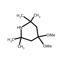 COC1(OC)CC(C)(C)NC(C)(C)C1